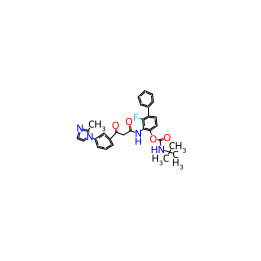 Cc1nccn1-c1cccc(C(=O)CC(=O)Nc2c(OC(=O)NC(C)(C)C)ccc(-c3ccccc3)c2F)c1